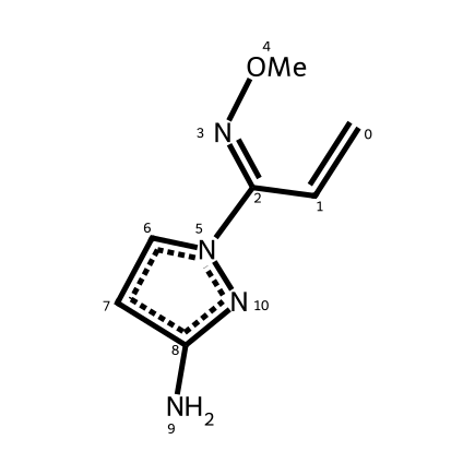 C=C/C(=N\OC)n1ccc(N)n1